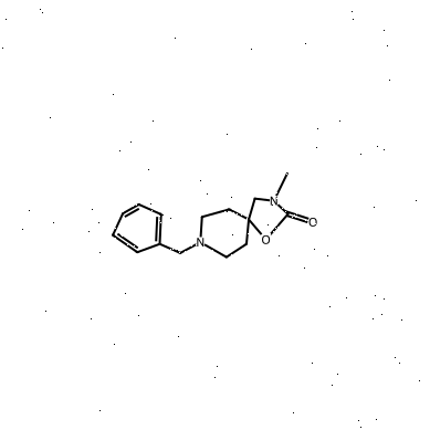 CN1CC2(CCN(Cc3ccccc3)CC2)OC1=O